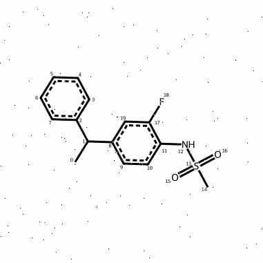 [CH2]C(c1ccccc1)c1ccc(NS(C)(=O)=O)c(F)c1